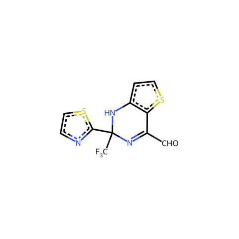 O=CC1=NC(c2nccs2)(C(F)(F)F)Nc2ccsc21